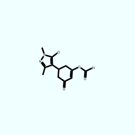 CCC(=O)OC1=CC(=O)CC(c2c(C)nn(C)c2Cl)C1